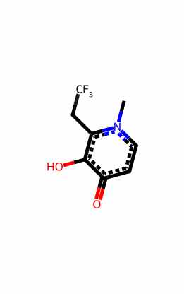 Cn1ccc(=O)c(O)c1CC(F)(F)F